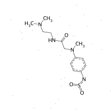 CN(C)CCNC(=O)CN(C)c1ccc(N=S(=O)=O)cc1